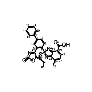 CCCSC1(c2ccc(-c3ccccc3)cc2-c2nc(=O)o[nH]2)N=c2c(C)ccc(C(=O)O)c2=N1